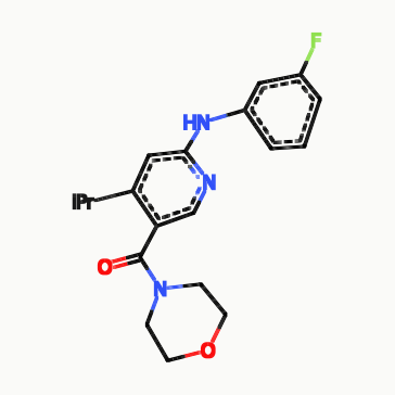 CC(C)c1cc(Nc2cccc(F)c2)ncc1C(=O)N1CCOCC1